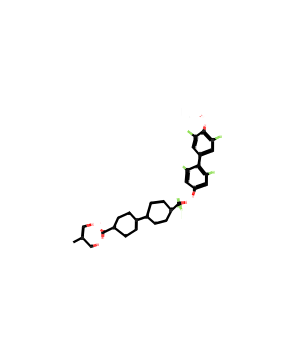 CC1COC(C2CCC(C3CCC(C(F)(F)Oc4cc(F)c(-c5cc(F)c(OC(F)(F)F)c(F)c5)c(F)c4)CC3)CC2)OC1